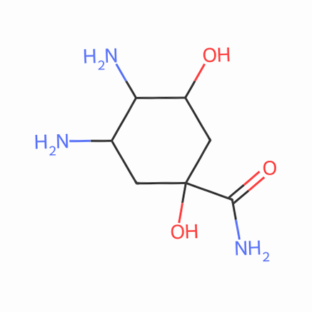 NC(=O)C1(O)CC(N)C(N)C(O)C1